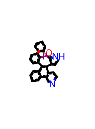 O=P1(c2ccccc2)c2ccccc2-c2c(c3ccncc3c3ccccc23)-c2cc[nH]c21